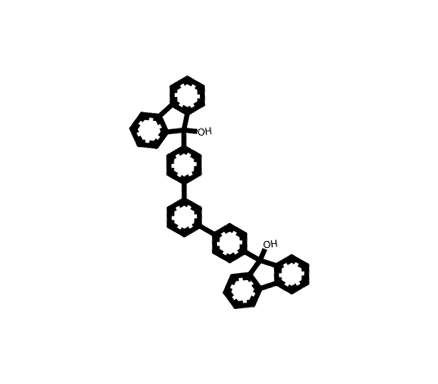 OC1(c2ccc(-c3cccc(-c4ccc(C5(O)c6ccccc6-c6ccccc65)cc4)c3)cc2)c2ccccc2-c2ccccc21